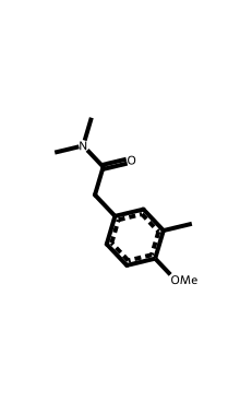 COc1ccc(CC(=O)N(C)C)cc1C